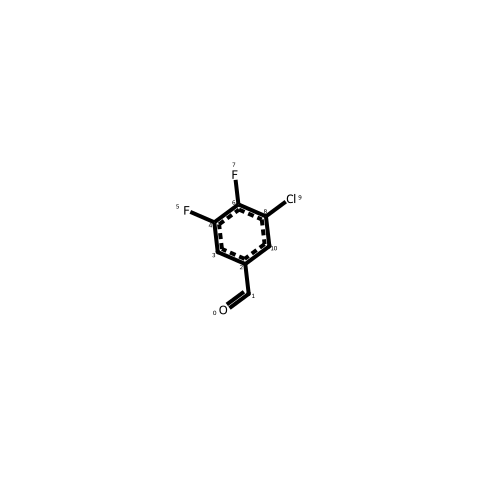 O=Cc1cc(F)c(F)c(Cl)c1